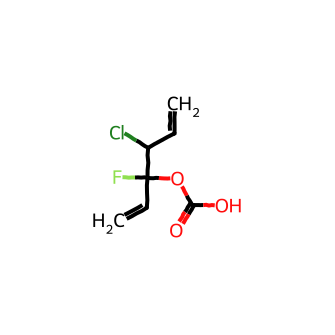 C=CC(Cl)C(F)(C=C)OC(=O)O